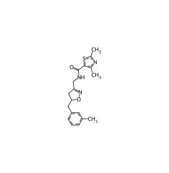 Cc1cccc(CC2CC(CNC(=O)c3sc(C)nc3C)=NO2)c1